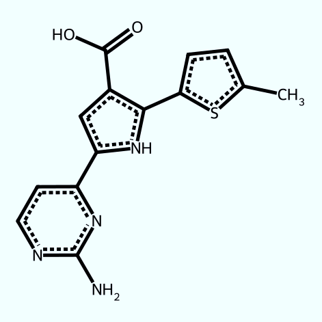 Cc1ccc(-c2[nH]c(-c3ccnc(N)n3)cc2C(=O)O)s1